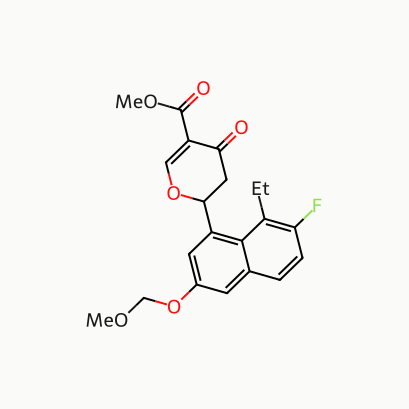 CCc1c(F)ccc2cc(OCOC)cc(C3CC(=O)C(C(=O)OC)=CO3)c12